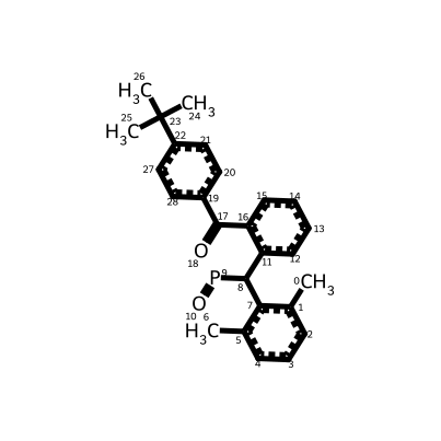 Cc1cccc(C)c1C(P=O)c1ccccc1C(=O)c1ccc(C(C)(C)C)cc1